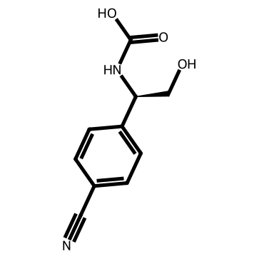 N#Cc1ccc([C@H](CO)NC(=O)O)cc1